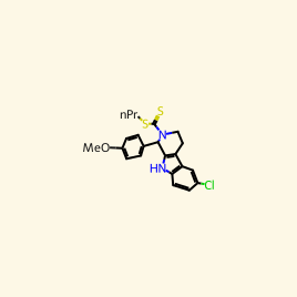 CCCSC(=S)N1CCc2c([nH]c3ccc(Cl)cc23)C1c1ccc(OC)cc1